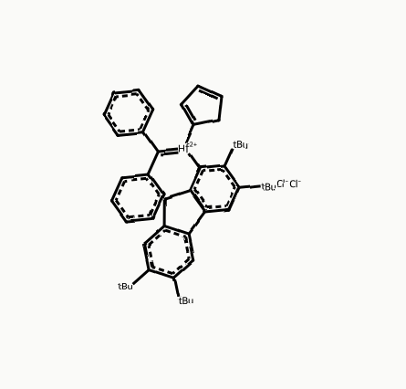 CC(C)(C)c1cc2c(cc1C(C)(C)C)-c1cc(C(C)(C)C)c(C(C)(C)C)[c]([Hf+2]([C]3=CC=CC3)=[C](c3ccccc3)c3ccccc3)c1C2.[Cl-].[Cl-]